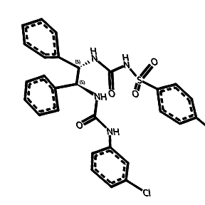 Cc1ccc(S(=O)(=O)NC(=O)N[C@@H](c2ccccc2)[C@@H](NC(=O)Nc2cccc(Cl)c2)c2ccccc2)cc1